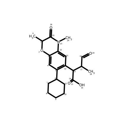 CC1Oc2cc(C3CCCCC3)c(C(C(=O)O)C(C)C=O)cc2N(C)C1=O